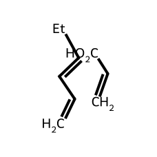 C=CC(=O)O.C=CC=CCC